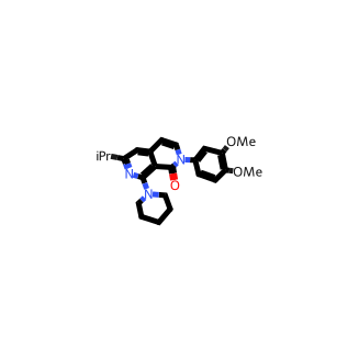 COc1ccc(-n2ccc3cc(C(C)C)nc(N4CCCCC4)c3c2=O)cc1OC